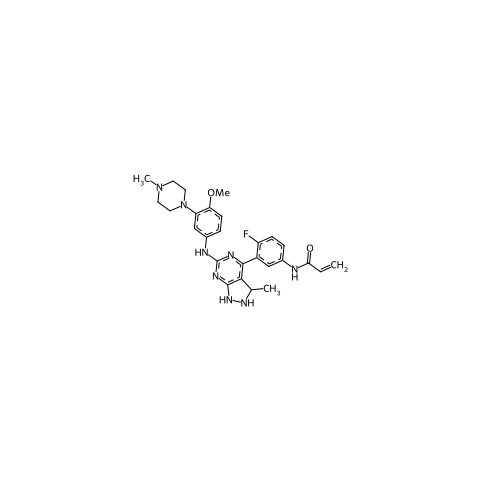 C=CC(=O)Nc1ccc(F)c(-c2nc(Nc3ccc(OC)c(N4CCN(C)CC4)c3)nc3c2C(C)NN3)c1